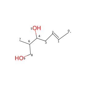 [CH2]/C=C/CC(O)C(C)CO